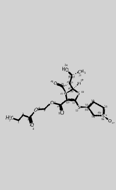 CCCC(=O)OCOC(=O)C1=C(S[C@H]2CC[S@@+]([O-])C2)S[C@@H]2[C@@H]([C@@H](C)O)C(=O)N12